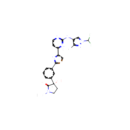 Cc1nn(C(F)F)cc1Nc1nccc(-c2csc(-c3cccc([C@]4(O)CCN(C)C4=O)c3)n2)n1